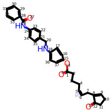 O=C(CCC/C=C\CC1=CCCC1=O)Oc1ccc(NCc2ccc(NC(=O)c3ccccc3)cc2)cc1